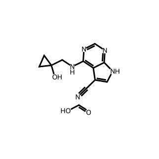 N#Cc1c[nH]c2ncnc(NCC3(O)CC3)c12.O=CO